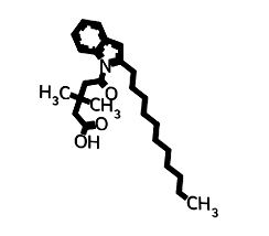 CCCCCCCCCCCc1cc2ccccc2n1C(=O)CC(C)(C)CC(=O)O